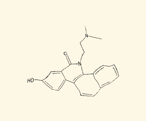 CN(C)CCn1c(=O)c2cc(O)ccc2c2ccc3ccccc3c21